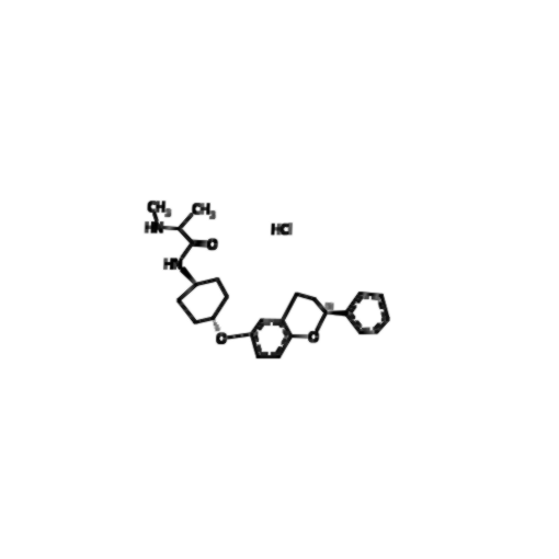 CNC(C)C(=O)N[C@H]1CC[C@H](Oc2ccc3c(c2)CC[C@@H](c2ccccc2)O3)CC1.Cl